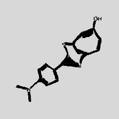 CN(C)c1ccc(-c2nc3ccc(O)cc3s2)cc1